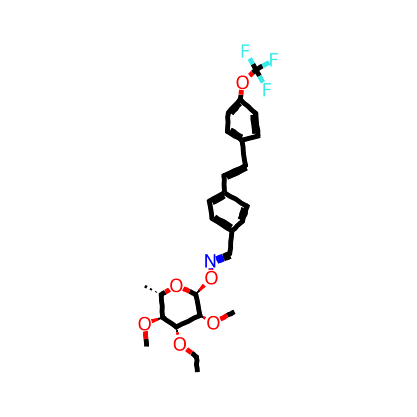 CCO[C@@H]1[C@@H](OC)[C@H](C)O[C@@H](ON=Cc2ccc(/C=C/c3ccc(OC(F)(F)F)cc3)cc2)[C@@H]1OC